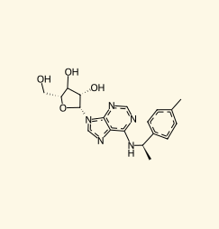 Cc1ccc([C@@H](C)Nc2ncnc3c2ncn3[C@@H]2O[C@H](CO)C(O)[C@@H]2O)cc1